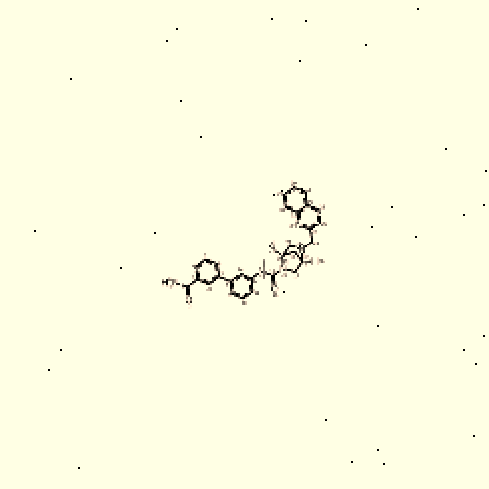 NC(=O)c1cccc(-c2cccc(NC(=O)N3C[C@@H]4C[C@H]3CN4Cc3ccc4ccccc4n3)c2)c1